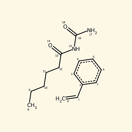 C=Cc1ccccc1.CCCCCC(=O)NC(N)=O